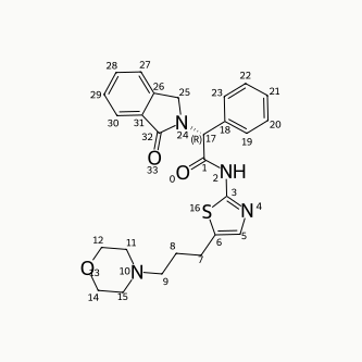 O=C(Nc1ncc(CCCN2CCOCC2)s1)[C@@H](c1ccccc1)N1Cc2ccccc2C1=O